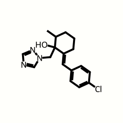 CC1CCCC(=Cc2ccc(Cl)cc2)C1(O)Cn1cncn1